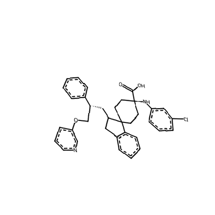 O=C(O)C1(Nc2cccc(Cl)c2)CCC2(CC1)c1ccccc1CC2C[C@H](COc1cccnc1)c1ccccc1